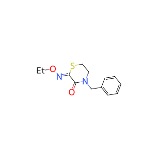 CCON=C1SCCN(Cc2ccccc2)C1=O